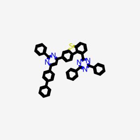 c1ccc(-c2ccc(-c3cc(-c4ccc5c(c4)sc4cccc(-c6nc(-c7ccccc7)nc(-c7ccccc7)n6)c45)nc(-c4ccccc4)n3)cc2)cc1